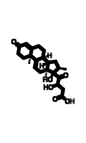 C[C@@H]1C[C@H]2[C@@H]3CCC4=CC(=O)CC[C@]4(C)C3=CC[C@]2(C)[C@@]1(O)C(=O)C(O)CC(=O)O